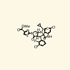 COC(=O)c1csc(N2C[C@H]3[C@@H](C2=O)[C@H](c2cccc(Cl)c2F)[C@]2(C(=O)Nc4cc(Cl)ccc42)N3CC2CC2)n1